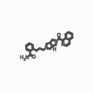 NC(=O)c1ccccc1[CH]CCN1CC2CN(C(=O)c3nccc4ccccc34)C[C@@H]2C1